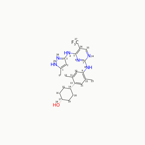 Cc1cc(Nc2nc(Nc3cc(C)c([C@H]4CC[C@@H](O)CC4)cc3C)ncc2C(F)(F)F)n[nH]1